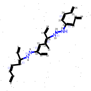 C=C\C=C/C=C(C=C)/N=N/C(C=C)=C/C(C)=C(C=C)/N=N/NC(/C=C\C=C)=C/C=C